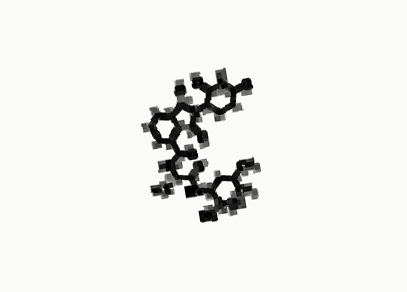 CC(C)C[C@H](NC(=O)[C@H](C)NC(=O)c1cccc2c1C(=O)N(C1CCC(=O)NC1=O)C2=O)B(O)O